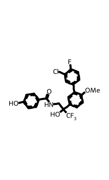 COc1ccc(C(O)(CNC(=O)c2ccc(O)cc2)C(F)(F)F)cc1-c1ccc(F)c(Cl)c1